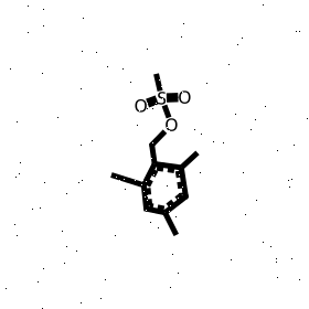 Cc1cc(C)c(COS(C)(=O)=O)c(C)c1